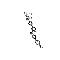 CCN1CCN(c2ccc(Nc3nccc(-c4ccc(NC(=O)[C@H](N)C(C)C)cc4)n3)cc2)CC1